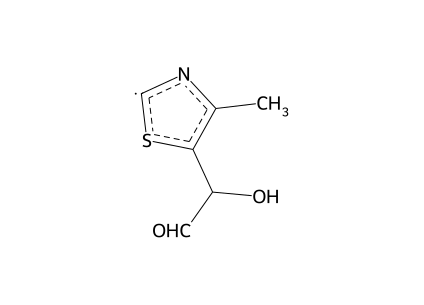 Cc1n[c]sc1C(O)C=O